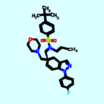 CCCN(C[C@]1(CN2CCOCC2)C=Cc2c(cnn2-c2ccc(F)cc2)C1)S(=O)(=O)c1ccc(C(C)(C)C)cc1